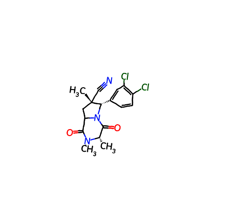 C[C@H]1C(=O)N2C(C[C@](C)(C#N)[C@@H]2c2ccc(Cl)c(Cl)c2)C(=O)N1C